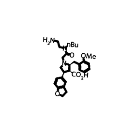 CCCCN(CCN)C(=O)CN1C[C@H](c2ccc3c(c2)CCO3)[C@@H](C(=O)O)[C@@H]1Cc1ccccc1OC